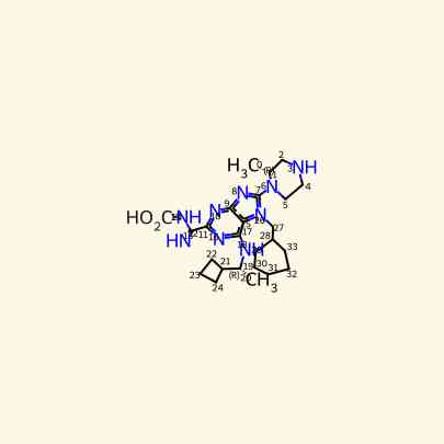 C[C@@H]1CNCCN1c1nc2nc(C(=N)NC(=O)O)nc(N[C@H](C)C3CCC3)c2n1CC1CCCCC1